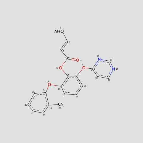 COC=CC(=O)Oc1c(Oc2ccncn2)cccc1Oc1ccccc1C#N